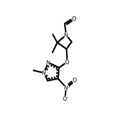 Cn1cc([N+](=O)[O-])c(OC2CN(C=O)C2(C)C)n1